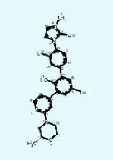 C[C@@H]1CN(c2cc(-c3cc(F)cc(-c4ccc(-n5ccn(C)c5=O)c(Cl)c4)c3O)ccn2)CCO1